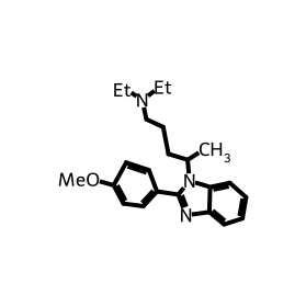 CCN(CC)CCCC(C)n1c(-c2ccc(OC)cc2)nc2ccccc21